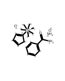 NC(=O)c1ccccc1.[CH3][Ti+2]([CH3])([CH3])([CH3])([CH3])([CH3])[C]1=CC=CC1.[Cl-].[Cl-].[SiH4]